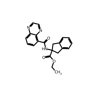 CCOC(=O)C1(NC(=O)c2cccc3nccnc23)Cc2ccccc2C1